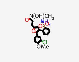 COc1ccc(-c2oc(CCC(=O)N(C)O)cc2-c2ccccc2S(N)(=O)=O)cc1Cl